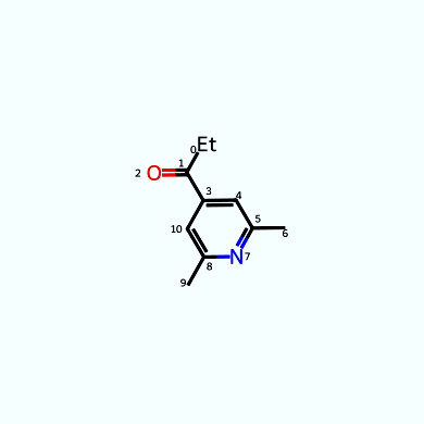 CCC(=O)c1cc(C)nc(C)c1